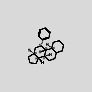 c1ccc([C@H]2C[C@@H]3CCC[C@H]3[C@@H]3CCC4CCCC[C@@H]4[C@H]32)cc1